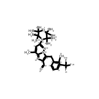 BC1(B)OC(B)(B)C(B)(B)N(c2cc(C)c3nc(C=O)c(Cc4cccc(C(F)(F)F)c4C)n3n2)C1(B)B